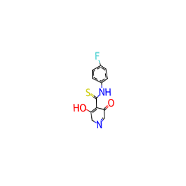 O=C1C=NCC(O)=C1C(=S)Nc1ccc(F)cc1